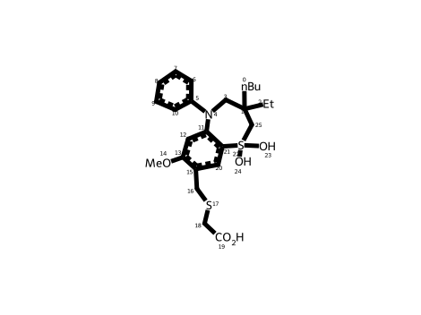 CCCCC1(CC)CN(c2ccccc2)c2cc(OC)c(CSCC(=O)O)cc2S(O)(O)C1